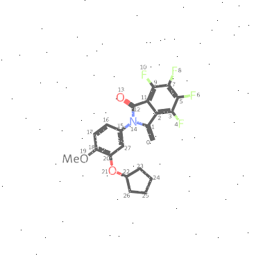 C=C1c2c(F)c(F)c(F)c(F)c2C(=O)N1c1ccc(OC)c(OC2CCCC2)c1